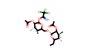 CCC1O[C@H](OCC2O[C@H](OC(=N)C(Cl)(Cl)Cl)C(OC(C)=O)[C@@H](C)[C@@H]2C)C(OC(C)=O)[C@@H](C)[C@@H]1C